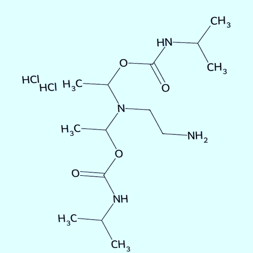 CC(C)NC(=O)OC(C)N(CCN)C(C)OC(=O)NC(C)C.Cl.Cl